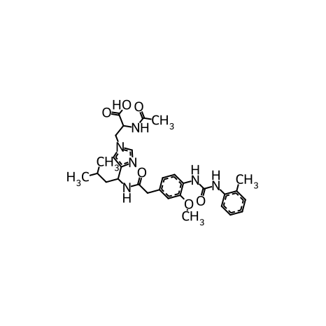 COc1cc(CC(=O)NC(CC(C)C)c2cn(CC(NC(C)=O)C(=O)O)cn2)ccc1NC(=O)Nc1ccccc1C